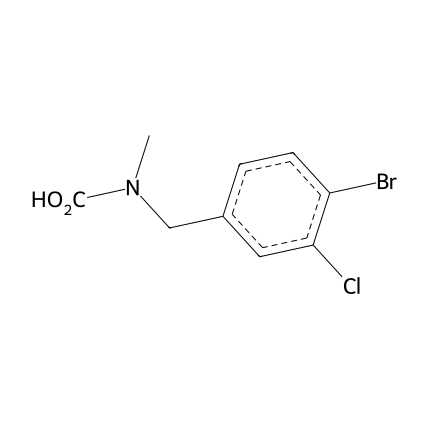 CN(Cc1ccc(Br)c(Cl)c1)C(=O)O